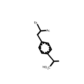 CCC(Cc1ccc(C(C)C(=O)O)cc1)C(C)=O